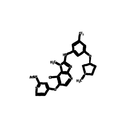 CC(=O)Nc1cc(Oc2cnc3nc(Nc4cc(O[C@H]5CCN(C)C5)cc(C(F)(F)F)c4)n(C)c3c2Cl)ccn1